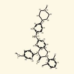 COc1ccc(N2C(=O)N(c3c(C)cccc3C)Cc3cnc(Nc4ccc(C5CCN(C)CC5)cn4)nc32)nc1